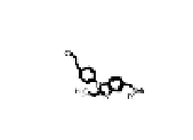 CCc1nc2cc(C[SH](=O)=O)ccc2n1-c1ccc(CCCl)cc1